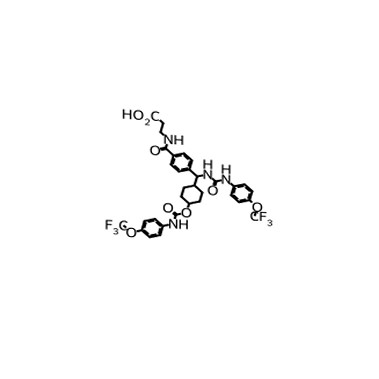 O=C(O)CCNC(=O)c1ccc(C(NC(=O)Nc2ccc(OC(F)(F)F)cc2)C2CCC(OC(=O)Nc3ccc(OC(F)(F)F)cc3)CC2)cc1